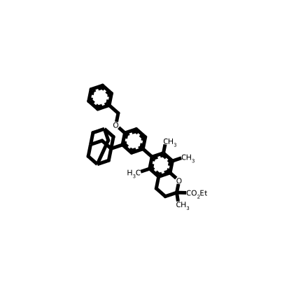 CCOC(=O)C1(C)CCc2c(C)c(-c3ccc(OCc4ccccc4)c(C45CC6CC(CC(C6)C4)C5)c3)c(C)c(C)c2O1